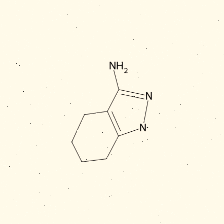 NC1=N[N]C2=C1CCCC2